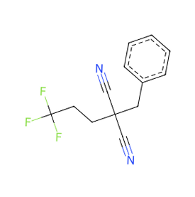 N#CC(C#N)(CCC(F)(F)F)Cc1ccccc1